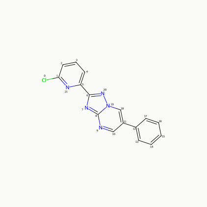 Clc1cccc(-c2nc3ncc(-c4ccccc4)cn3n2)n1